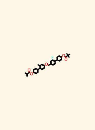 C=C(C)C(=O)Oc1ccc(-c2ccc(OCc3ccc(-c4ccc(OC(=O)C(C)(C)C)cc4)c(F)c3)cc2C)cc1